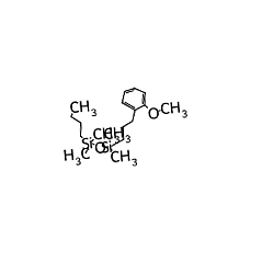 CCCC[Si](C)(C)O[Si](C)(C)CCCc1ccccc1OC